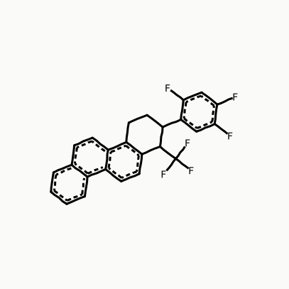 Fc1cc(F)c(C2CCc3c(ccc4c3ccc3ccccc34)C2C(F)(F)F)cc1F